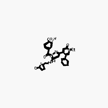 CCn1cc(-c2ccccc2)c(-c2cc(NCc3ccc(Cl)s3)n(C(=O)c3ccc(C(=O)O)cc3)n2)cc1=O